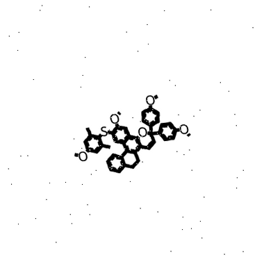 COc1ccc(C2(c3ccc(OC)cc3)C=Cc3c4c(c5cc(Sc6c(C)cc(OC)cc6C)c(OC)cc5c3O2)-c2ccccc2CC4)cc1